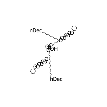 CCCCCCCCCCCCCCCCCCC(CCCOP(=O)(O)OCCCC(CCCCCCCCCCCCCCCCCC)OOOOOOOC1CCCCC1)OOOOOOOC1CCCCC1